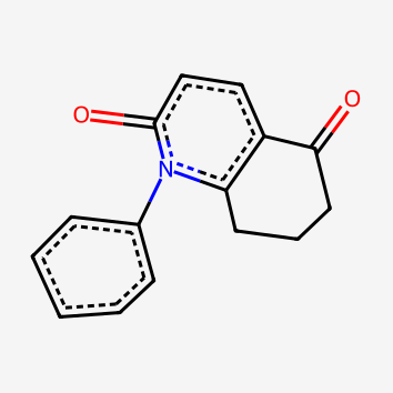 O=C1CCCc2c1ccc(=O)n2-c1ccccc1